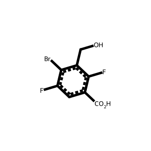 O=C(O)c1cc(F)c(Br)c(CO)c1F